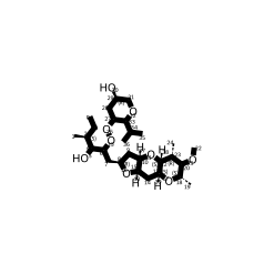 CC[C@H](C)C(O)C(C[C@H]1C[C@H]2O[C@@H]3[C@H](C[C@H]2O1)O[C@@H](C)C(OC)[C@H]3C)OOC1C[C@@H](O)COC1C(C)C